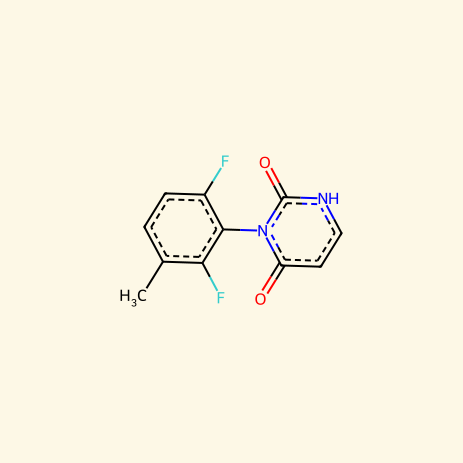 Cc1ccc(F)c(-n2c(=O)cc[nH]c2=O)c1F